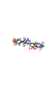 Cc1nc(-c2ccc([C@@]3(O)CCN(C(C)C)C(C)(C)C3)c(F)c2)cc2c1cc(-c1ccc(S(C)(=O)=O)cc1)n2C